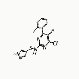 Cc1ccccc1-c1nc(NSc2cnn(C)c2)nc(Cl)c1F